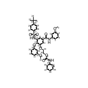 COc1cccc(NC(=O)c2cc(NS(=O)(=O)c3ccc(C(C)(C)C)cc3)c(Oc3cccc(OC)c3)c(OCCOC(=O)Nc3ccccn3)c2)c1